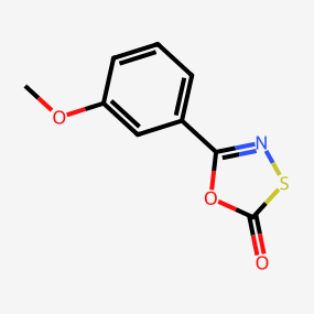 COc1cccc(-c2nsc(=O)o2)c1